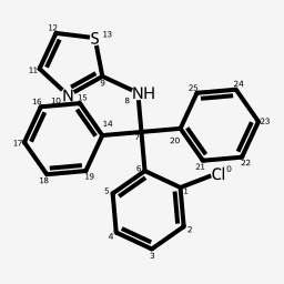 Clc1ccccc1C(Nc1nccs1)(c1ccccc1)c1ccccc1